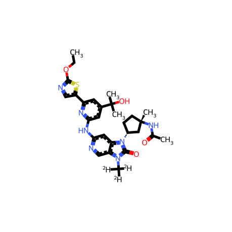 [2H]C([2H])([2H])n1c(=O)n([C@@H]2CC[C@](C)(NC(C)=O)C2)c2cc(Nc3cc(C(C)(C)O)cc(-c4cnc(OCC)s4)n3)ncc21